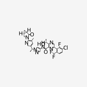 Cc1cc([C@H](C)n2cc(NC(=O)c3nc(-c4c(C(F)F)ccc(Cl)c4F)cnc3[C@H](C)O)cn2)cnc1N1C[C@H]2C[C@H]2C1=O